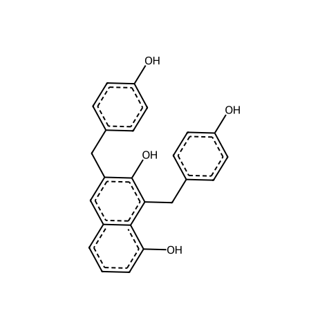 Oc1ccc(Cc2cc3cccc(O)c3c(Cc3ccc(O)cc3)c2O)cc1